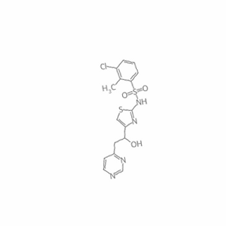 Cc1c(Cl)cccc1S(=O)(=O)Nc1nc(C(O)Cc2ccncn2)cs1